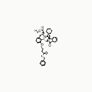 CNC(=O)[C@H]1CCCC[C@H]1C(=O)N1CCc2cccc(OCCCC(=O)OCc3ccccc3)c2[C@H]1CN1C(=O)c2ccccc2C1=O